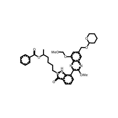 COCOc1cc(COC2CCCCO2)cc2nc(OC)c(-c3cccc4c(=O)n(CCCCC(C)OC(=O)c5ccccc5)[nH]c34)nc12